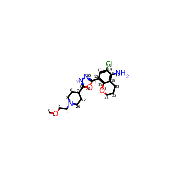 COCCN1CCC(c2nnc(-c3cc(Cl)c(N)c4c3OCCC4)o2)CC1